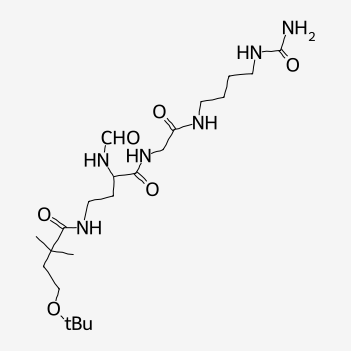 CC(C)(C)OCCC(C)(C)C(=O)NCCC(NC=O)C(=O)NCC(=O)NCCCCNC(N)=O